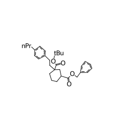 CCCc1ccc(CCC2(C(=O)OC(C)(C)C)CCCC(C(=O)OCc3ccccc3)C2)cc1